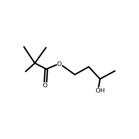 CC(O)CCOC(=O)C(C)(C)C